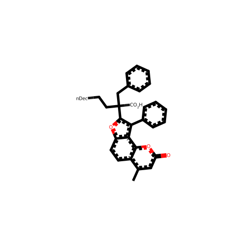 CCCCCCCCCCCCC(Cc1ccccc1)(C(=O)O)c1oc2ccc3c(C)cc(=O)oc3c2c1-c1ccccc1